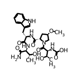 CO[C@@H]1C[C@@H](C(=O)N[C@@H](Cc2c[nH]c3ccccc23)C(=O)N[C@H](C(N)=O)[C@@H](C)O)N(C(=O)[C@@H](NC(=O)O)[C@@H](C)O)C1